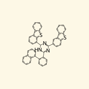 c1ccc(-c2cccc3ccccc23)c(C2=NC(c3ccc4sc5ccccc5c4c3)=NC(c3cccc4c3sc3ccccc34)N2)c1